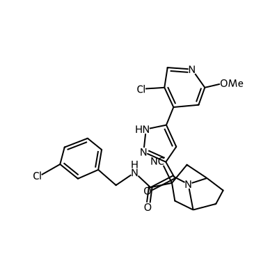 COc1cc(-c2cc(C(=O)N3C4CCC3CC(C#N)(C(=O)NCc3cccc(Cl)c3)C4)n[nH]2)c(Cl)cn1